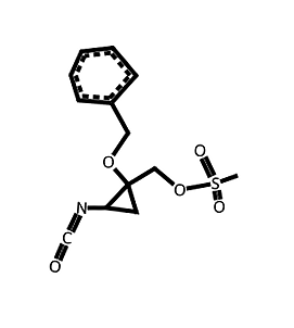 CS(=O)(=O)OCC1(OCc2ccccc2)CC1N=C=O